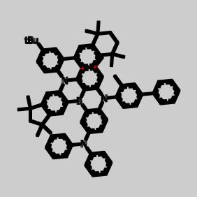 Cc1cc2c3c(c1)N(c1ccc(C(C)(C)C)cc1-c1ccc4c(c1)C(C)(C)CCC4(C)C)c1cc4c(cc1B3c1cc(N(c3ccccc3)c3ccccc3)ccc1N2c1ccc(-c2ccccc2)cc1C)C(C)(C)CC4(C)C